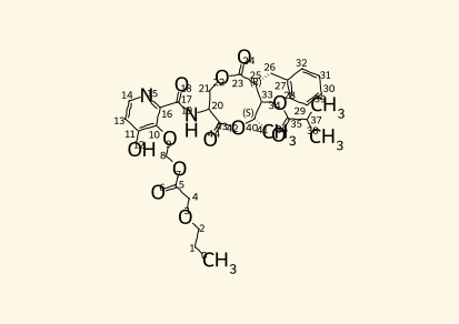 CCCOCC(=O)OCOc1c(O)ccnc1C(=O)NC1COC(=O)[C@H](Cc2ccccc2)C(OC(=O)C(C)C)[C@H](C)OC1=O